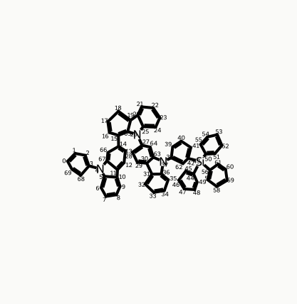 c1ccc(-n2c3ccccc3c3ccc(-c4cccc5c6ccccc6n(-c6ccc7c8ccccc8n(-c8cccc([Si](c9ccccc9)(c9ccccc9)c9ccccc9)c8)c7c6)c45)cc32)cc1